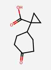 O=C1CCC(C2(C(=O)O)CC2)CC1